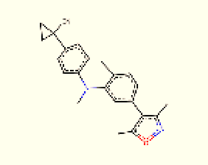 Cc1ccc(-c2c(C)noc2C)cc1N(C)c1ccc(C2(C#N)CC2)cc1